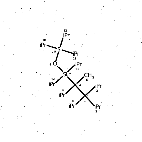 CC(C)C(C(C)C)(C(C)C)C(C)(C(C)C)[Si](O[Si](C(C)C)(C(C)C)C(C)C)(C(C)C)C(C)C